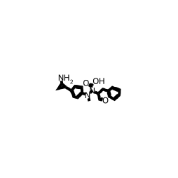 CN(c1ccc(C2CC2N)cc1)N(C(=O)O)C(C=O)Cc1ccccc1